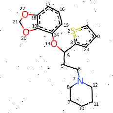 c1csc(C(CCN2CCCCC2)Oc2cccc3c2OCO3)c1